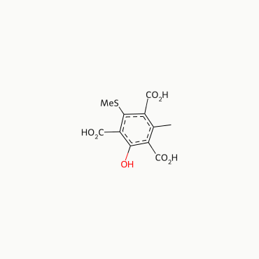 CSc1c(C(=O)O)c(C)c(C(=O)O)c(O)c1C(=O)O